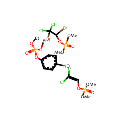 CCOP(=O)(OCC)Oc1ccc([N+](=O)[O-])cc1.COP(=O)(OC)OC(Br)C(Cl)(Cl)Br.COP(=O)(OC)OC=C(Cl)Cl